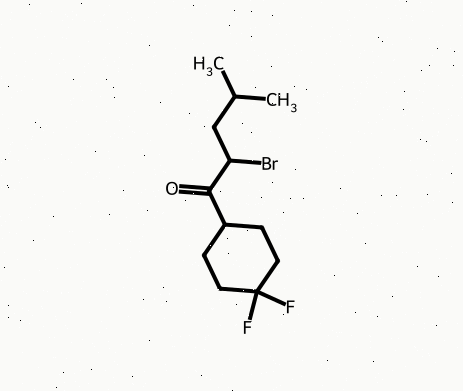 CC(C)CC(Br)C(=O)C1CCC(F)(F)CC1